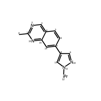 Cc1ncc2ccc(-c3cnn(C(C)C)c3)cc2n1